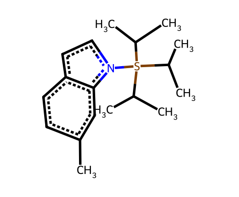 Cc1ccc2ccn(S(C(C)C)(C(C)C)C(C)C)c2c1